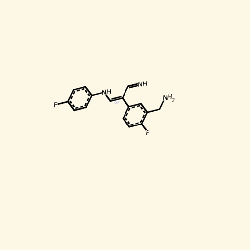 N=C/C(=C\Nc1ccc(F)cc1)c1ccc(F)c(CN)c1